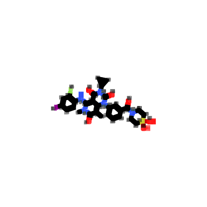 Cc1c(=O)n(C)c(Nc2ccc(I)cc2F)c2c(=O)n(C3CC3)c(=O)n(-c3cccc(C(=O)N4CCS(O)(O)CC4)c3)c12